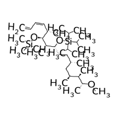 C=C/C=C\[C@H](C)[C@H](O[Si](C)(C)C)[C@@H](C)[C@@H](CC[C@H](C)C[C@H](C)[C@@H](C)[C@@H](C)OC)O[Si](C(C)C)(C(C)C)C(C)C